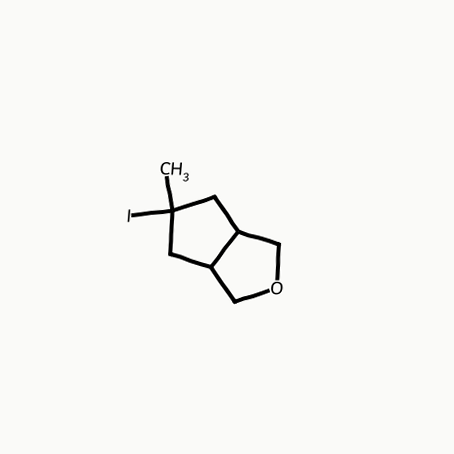 CC1(I)CC2COCC2C1